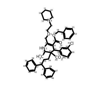 CC1NC(COCCN2CCCCC2)=C(C(=O)OCc2ccccc2)C(c2cccc(Cl)c2)C1(CCC(c1ccccc1)c1ccccc1)C(=O)O